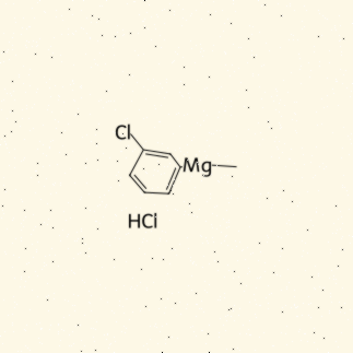 Cl.[CH3][Mg][c]1cccc(Cl)c1